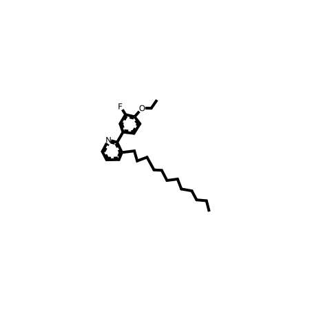 CCCCCCCCCCCCc1cccnc1-c1ccc(OCC)c(F)c1